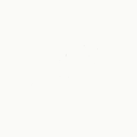 CCCC(=O)OC1COS(=O)(=O)C1C